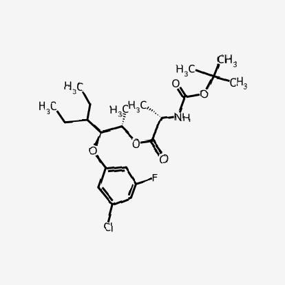 CCC(CC)[C@H](Oc1cc(F)cc(Cl)c1)[C@H](C)OC(=O)[C@H](C)NC(=O)OC(C)(C)C